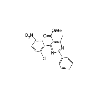 COC(=O)c1c(C)nc(-c2ccccc2)nc1-c1cc([N+](=O)[O-])ccc1Cl